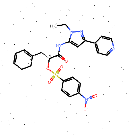 CCn1nc(-c2ccncc2)cc1NC(=O)[C@@H](CC1=CC=CCC1)OS(=O)(=O)c1ccc([N+](=O)[O-])cc1